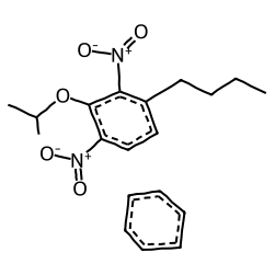 CCCCc1ccc([N+](=O)[O-])c(OC(C)C)c1[N+](=O)[O-].c1ccccc1